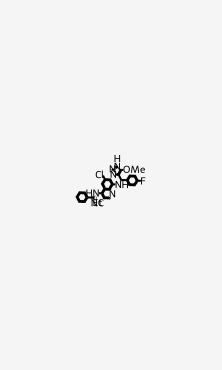 CC[C@@H](Nc1c(C#N)cnc2c(NC(c3ccc(F)cc3)c3nn[nH]c3OC)cc(Cl)cc12)c1ccccc1